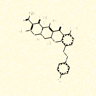 NC(=O)C1=C(O)C[C@@H]2C[C@@H]3Cc4c(CCc5ccc(N)cc5)ccc(O)c4C(=O)C3=C(O)[C@]2(O)C1=O